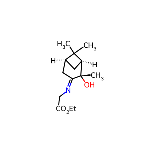 CCOC(=O)C/N=C1\C[C@@H]2C[C@@H](C2(C)C)[C@]1(C)O